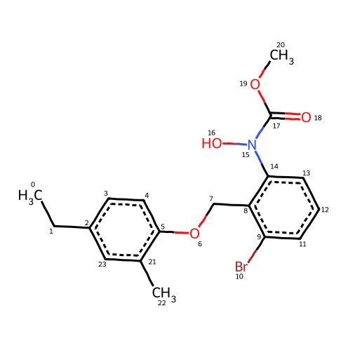 CCc1ccc(OCc2c(Br)cccc2N(O)C(=O)OC)c(C)c1